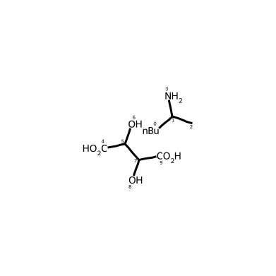 CCCCC(C)N.O=C(O)C(O)C(O)C(=O)O